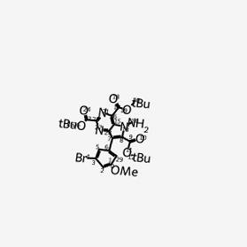 COc1cc(Br)cc(-c2c(C(=O)OC(C)(C)C)n(N)c3c(C(=O)OC(C)(C)C)nc(C(=O)OC(C)(C)C)nc23)c1